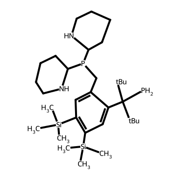 CC(C)(C)C(P)(c1cc([Si](C)(C)C)c([Si](C)(C)C)cc1CP(C1CCCCN1)C1CCCCN1)C(C)(C)C